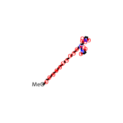 COCCOCCOCCOCCOCCOCCOCCOCCOCCOCCOCCN(CCC(=O)ON1C(=O)CCC1=O)C(=O)CN1C(=O)C=CC1=O